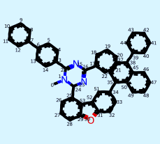 CN1C(c2ccc(-c3ccccc3)cc2)=NC(c2ccccc2)=NC1c1cccc2oc3ccc(-c4ccc(-c5ccccc5)c5ccccc45)cc3c12